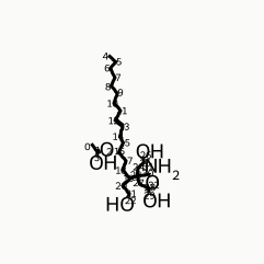 CC(=O)O.CCCCCCCCC=CCCCCCC(CCO)C(CCO)(CCO)C(N)=O